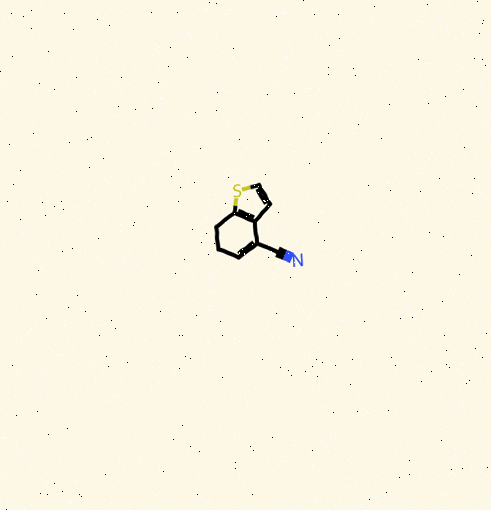 N#CC1=CCCc2sccc21